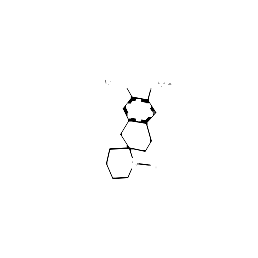 CCCN1CCCCC12CCc1cc(OC)c(OC)cc1C2.Cl